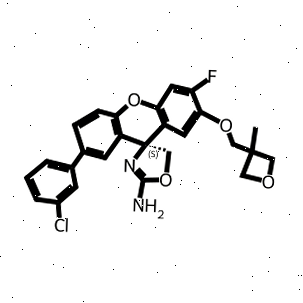 CC1(COc2cc3c(cc2F)Oc2ccc(-c4cccc(Cl)c4)cc2[C@@]32COC(N)=N2)COC1